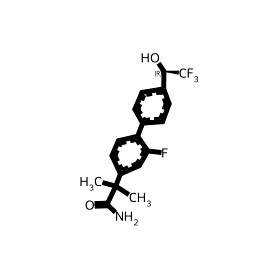 CC(C)(C(N)=O)c1ccc(-c2ccc([C@@H](O)C(F)(F)F)cc2)c(F)c1